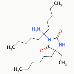 CCCCCCC1(CC)NC(=O)N(C(N)(CCCCC)CCCCC)C1=O